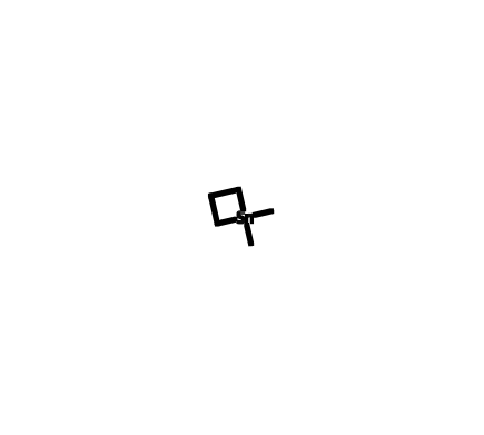 [CH3][Sn]1([CH3])[CH2]C[CH2]1